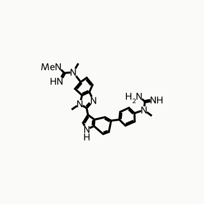 CNC(=N)N(C)c1ccc2nc(-c3c[nH]c4ccc(-c5ccc(N(C)C(=N)N)cc5)cc34)n(C)c2c1